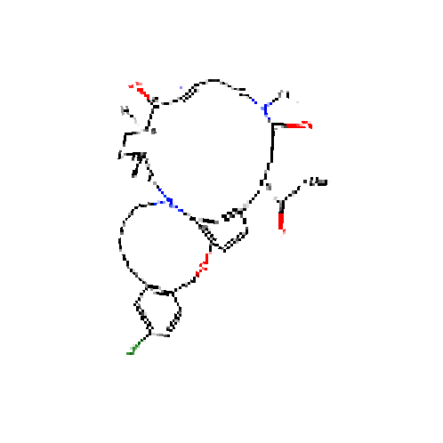 COC(=O)[C@H]1CC(=O)N(C)CC/C=C/[C@H](O)[C@@H]2CC[C@H]2CN2CCCCc3cc(Cl)ccc3COc3ccc1cc32